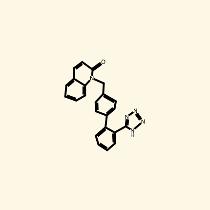 O=c1ccc2ccccc2n1Cc1ccc(-c2ccccc2-c2nnn[nH]2)cc1